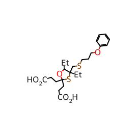 CCC1OC(CCC(=O)O)(CCC(=O)O)SC1(CC)CSCCCOc1ccccc1